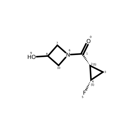 O=C([C@@H]1C[C@@H]1F)N1CC(O)C1